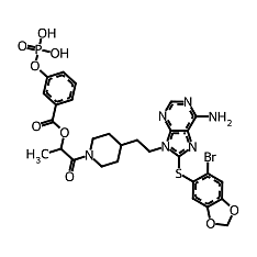 CC(OC(=O)c1cccc(OP(=O)(O)O)c1)C(=O)N1CCC(CCn2c(Sc3cc4c(cc3Br)OCO4)nc3c(N)ncnc32)CC1